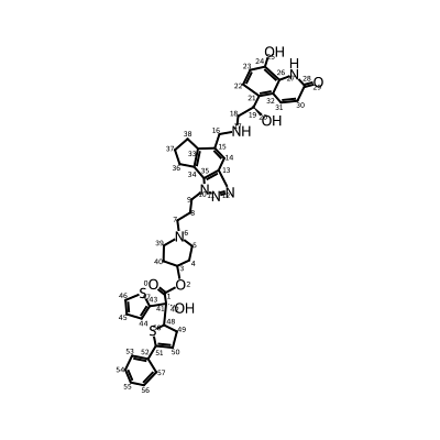 O=C(OC1CCN(CCCn2nnc3cc(CNC[C@H](O)c4ccc(O)c5[nH]c(=O)ccc45)c4c(c32)CCC4)CC1)[C@](O)(c1cccs1)C1CC=C(c2ccccc2)S1